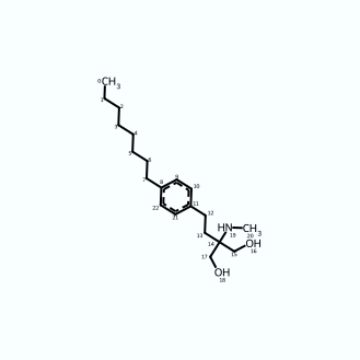 CCCCCCCCc1ccc(CCC(CO)(CO)NC)cc1